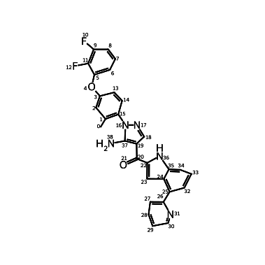 Cc1cc(Oc2cccc(F)c2F)ccc1-n1ncc(C(=O)c2cc3c(-c4ccccn4)cccc3[nH]2)c1N